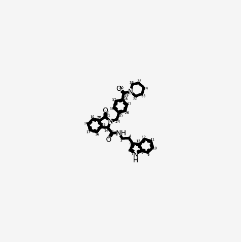 O=C(NCCc1c[nH]c2ccccc12)C1c2ccccc2C(=O)N1Cc1ccc(C(=O)N2CCCCC2)cc1